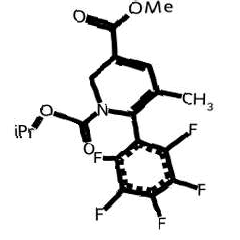 COC(=O)C1=CC(C)=C(c2c(F)c(F)c(F)c(F)c2F)N(C(=O)OC(C)C)C1